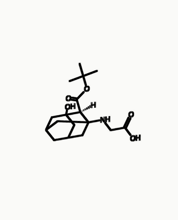 CC(C)(C)OC(=O)[C@@H]1C2(O)CC3CC(C2)CC1(NCC(=O)O)C3